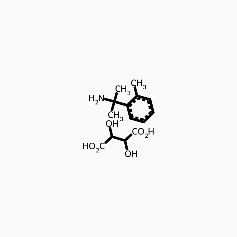 Cc1ccccc1C(C)(C)N.O=C(O)C(O)C(O)C(=O)O